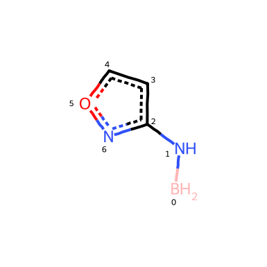 BNc1ccon1